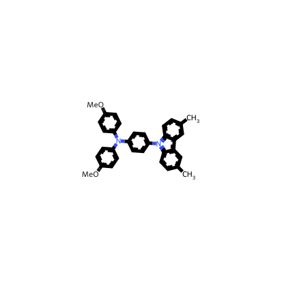 COc1ccc(N(c2ccc(OC)cc2)c2ccc(-n3c4ccc(C)cc4c4cc(C)ccc43)cc2)cc1